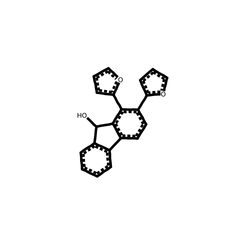 OC1c2ccccc2-c2ccc(-c3ccco3)c(-c3ccco3)c21